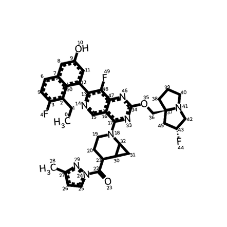 CCc1c(F)ccc2cc(O)cc(-c3ncc4c(N5CCC(C(=O)n6ccc(C)n6)C6CC65)nc(OC[C@@]56CCCN5C[C@H](F)C6)nc4c3F)c12